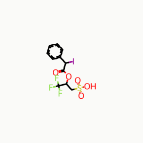 O=C(OC(CS(=O)(=O)O)C(F)(F)F)C(I)c1ccccc1